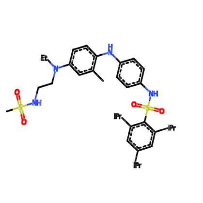 CCN(CCNS(C)(=O)=O)c1ccc(Nc2ccc(NS(=O)(=O)c3c(C(C)C)cc(C(C)C)cc3C(C)C)cc2)c(C)c1